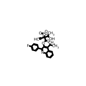 C#CC(C(=O)Oc1c(-c2ccc(F)cc2)nc2ccccc2c1C(C)C)(C(C)O)[PH](=O)O